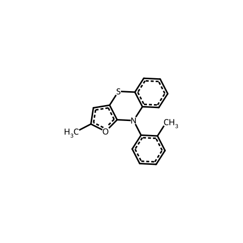 Cc1cc2c(o1)N(c1ccccc1C)c1ccccc1S2